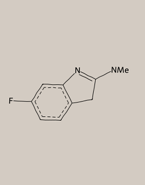 CNC1=Nc2cc(F)ccc2C1